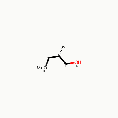 COC[C@H](C)CO